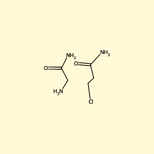 NC(=O)CCCl.NCC(N)=O